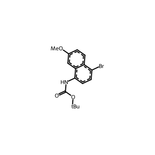 COc1ccc2c(Br)ccc(NC(=O)OC(C)(C)C)c2c1